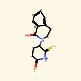 O=C1CCC(N2CCc3ccccc3C2=O)C(=S)N1